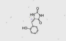 O=C1NC(=O)/C(=C\c2ccccc2O)N1